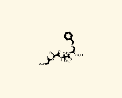 CCOC(=O)[C@H](COCc1ccccc1)NC(=O)C(C)(C)NC(=O)[C@@H](SC(=O)COC)C(C)C